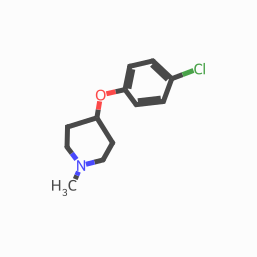 CN1CCC(Oc2ccc(Cl)cc2)CC1